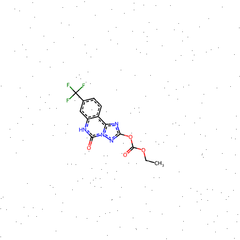 CCOC(=O)Oc1nc2c3ccc(C(F)(F)F)cc3[nH]c(=O)n2n1